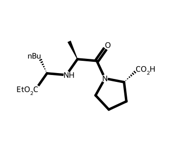 CCCC[C@H](N[C@@H](C)C(=O)N1CCC[C@H]1C(=O)O)C(=O)OCC